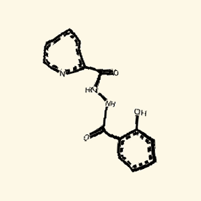 O=C(NNC(=O)c1ccccc1O)c1ccccn1